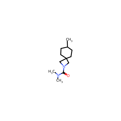 CC1CCC2(CC1)CN(C(=O)N(C)C)C2